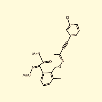 CNC(=O)/C(=N/OC)c1cccc(C)c1CO/N=C(\C)C#Cc1cccc(Cl)c1